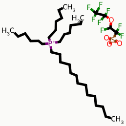 CCCCCCCCCCCCCC[P+](CCCCCC)(CCCCCC)CCCCCC.O=S(=O)([O-])C(F)(F)C(F)OC(F)(F)C(F)(F)F